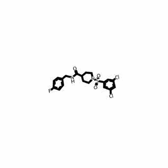 O=C(NCc1ccc(F)cc1)C1CCN(S(=O)(=O)c2cc(Cl)cc(Cl)c2)CC1